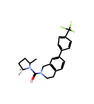 CC1CC[C@@H](C)N1C(=O)N1CCc2ccc(-c3ccc(C(F)(F)F)cc3)cc2C1